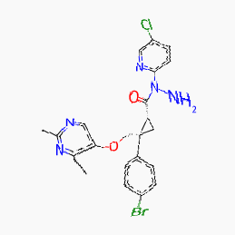 Cc1ncc(OC[C@@]2(c3ccc(Br)cc3)C[C@H]2C(=O)N(N)c2ccc(Cl)cn2)c(C)n1